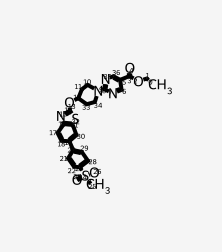 CCOC(=O)c1cnc(N2CCC(Oc3nc4ccc(-c5ccc(S(C)(=O)=O)cc5)cc4s3)CC2)nc1